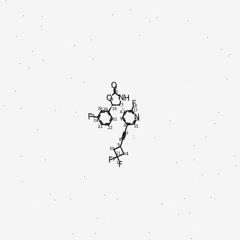 O=C1N[C@H](c2cc(C#CC3CC(F)(F)C3)cnc2F)[C@@H](c2cccc(F)c2)O1